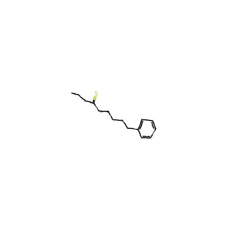 CCCC(=S)CCCCCc1ccccc1